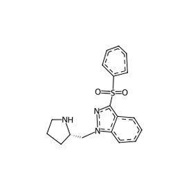 O=S(=O)(c1ccccc1)c1nn(C[C@@H]2CCCN2)c2ccccc12